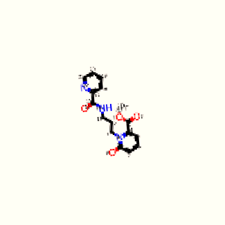 CC(C)OC(=O)c1cccc(=O)n1CCCNC(=O)c1ccccn1